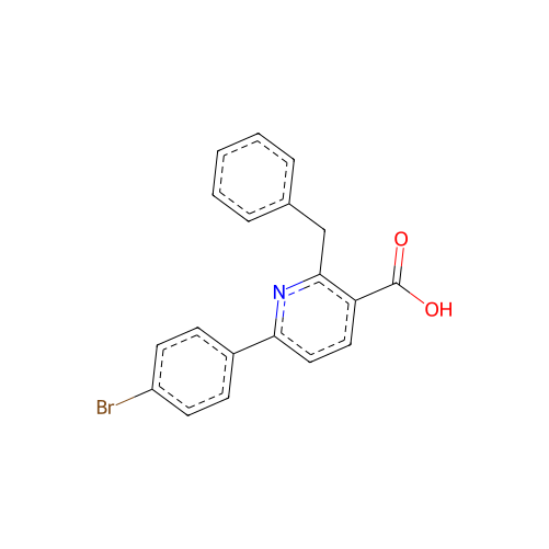 O=C(O)c1ccc(-c2ccc(Br)cc2)nc1Cc1ccccc1